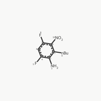 CCCCc1c(N)c(F)cc(F)c1[N+](=O)[O-]